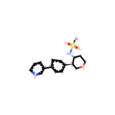 CC(C)S(=O)(=O)N[C@@H]1CCOC[C@H]1c1ccc(-c2cccnc2)cc1